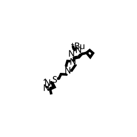 Cc1cc(SCCCN2CCN(c3cc(C4CCC4)nc(C(C)(C)C)n3)CC2)n(C)n1